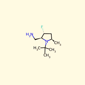 C[C@@H]1C[C@@H](F)[C@H](CN)N1C(C)(C)C